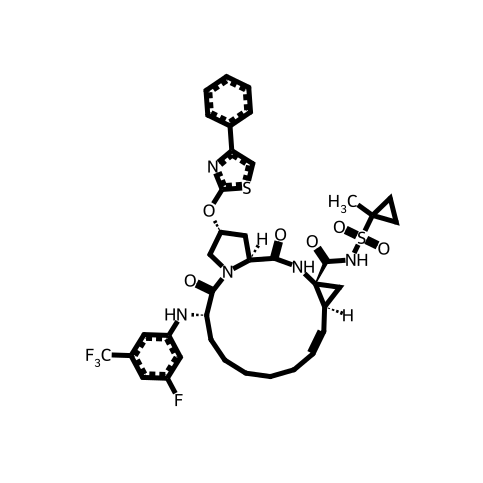 CC1(S(=O)(=O)NC(=O)[C@@]23C[C@H]2/C=C\CCCCC[C@H](Nc2cc(F)cc(C(F)(F)F)c2)C(=O)N2C[C@H](Oc4nc(-c5ccccc5)cs4)C[C@H]2C(=O)N3)CC1